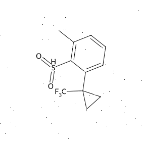 Cc1cccc(C2(C(F)(F)F)[CH]C2)c1[SH](=O)=O